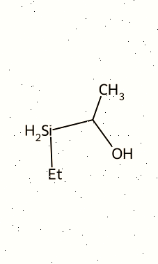 CC[SiH2]C(C)O